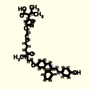 CC(C)C(C(=O)O)c1cc(OCCOCCCC(=O)N(C)CCOc2ccc(/C=C(/CCc3ccc(O)cc3)c3ccccc3)cc2)no1